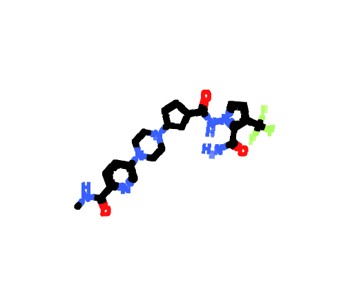 CNC(=O)c1ccc(N2CCN(C3CCC(C(=O)Nn4ccc(C(F)(F)F)c4C(N)=O)C3)CC2)cn1